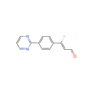 O=CC=C(F)c1ccc(-c2ncccn2)cc1